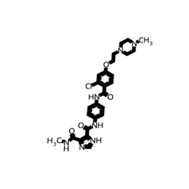 CNC(=O)c1nc[nH]c1C(=O)Nc1ccc(NC(=O)c2ccc(OCCN3CCN(C)CC3)cc2Cl)cc1